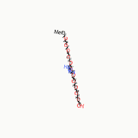 COCCOCCOCCOCCOCCOCCOCCOCCOCCOCCOCCOCCO.N=[N+]=N